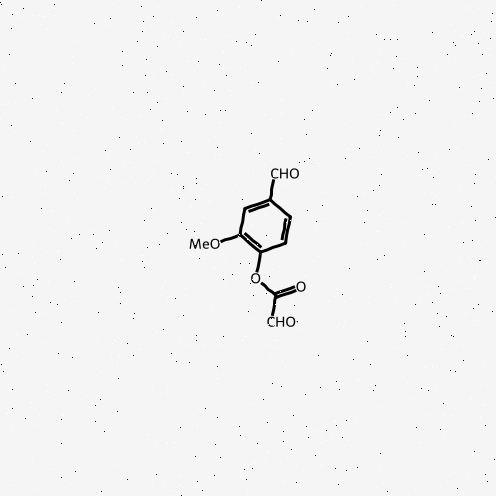 COc1cc(C=O)ccc1OC(=O)[C]=O